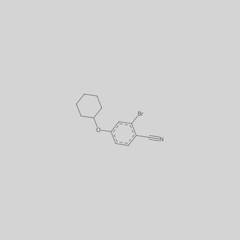 N#Cc1ccc(OC2CCCCC2)cc1Br